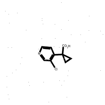 O=C(O)C1(c2ccncc2Cl)CC1